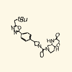 CC(C)(C)Cc1nnc(-c2ccc(C3CN(C(=O)N4CC[C@@H]5OCC(=O)NC5C4)C3)cc2)o1